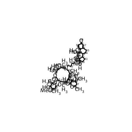 CC[C@H]1OC(=O)[C@H](C)[C@@H](O[C@@H]2C[C@](C)(OC)[C@H](O)[C@@H](C)O2)[C@H](C)[C@@H](O[C@@H]2O[C@H](C)C[C@@H](N(C)C)[C@H]2C)[C@H](O)CC(C)(O)CN(CCCNC(=O)[C@@]2(O)CCC3C4CCC5=CC(=O)C=C[C@]5(C)[C@@]4(F)[C@@H](O)C[C@@]32C)[C@H](C)[C@@H](O)[C@]1(C)O